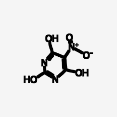 O=[N+]([O-])c1c(O)nc(O)nc1O